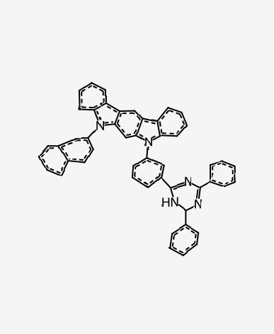 c1ccc(C2=NC(c3ccccc3)NC(c3cccc(-n4c5ccccc5c5cc6c7ccccc7n(-c7ccc8ccccc8c7)c6cc54)c3)=N2)cc1